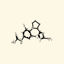 Nc1nc(C2CCCN2c2c(F)cc(NC(=O)O)cc2F)cs1